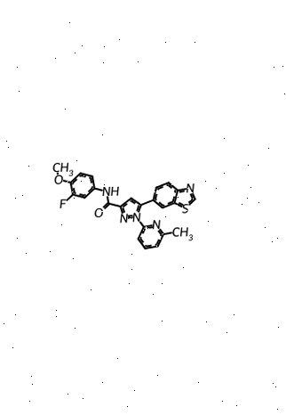 COc1ccc(NC(=O)c2cc(-c3ccc4ncsc4c3)n(-c3cccc(C)n3)n2)cc1F